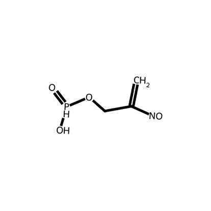 C=C(CO[PH](=O)O)N=O